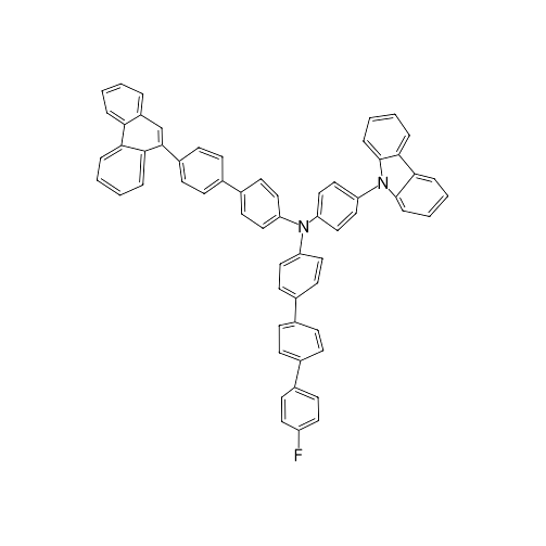 Fc1ccc(-c2ccc(-c3ccc(N(c4ccc(-c5ccc(-c6cc7ccccc7c7ccccc67)cc5)cc4)c4ccc(-n5c6ccccc6c6ccccc65)cc4)cc3)cc2)cc1